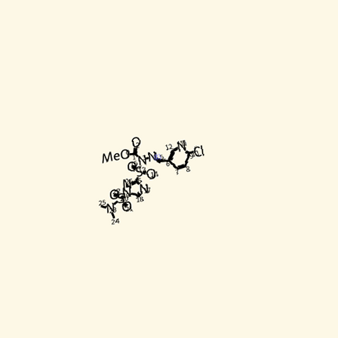 COC(=O)N(/N=C/c1ccc(Cl)nc1)S(=O)(=O)c1ncn(S(=O)(=O)N(C)C)n1